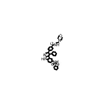 O=C(NCCN1CCOCC1)c1ccc(-c2cnc3[nH]c4ccc(NS(=O)(=O)c5ccccc5F)cc4c3c2-c2ccccc2)cc1